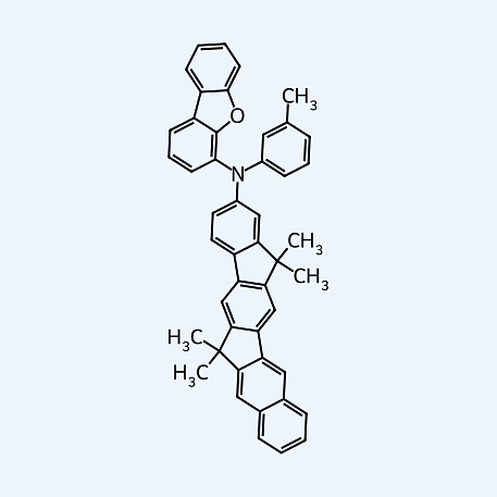 Cc1cccc(N(c2ccc3c(c2)C(C)(C)c2cc4c(cc2-3)C(C)(C)c2cc3ccccc3cc2-4)c2cccc3c2oc2ccccc23)c1